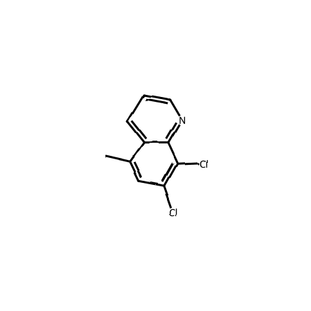 Cc1cc(Cl)c(Cl)c2ncccc12